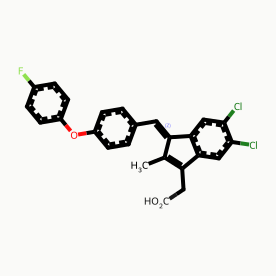 CC1=C(CC(=O)O)c2cc(Cl)c(Cl)cc2/C1=C/c1ccc(Oc2ccc(F)cc2)cc1